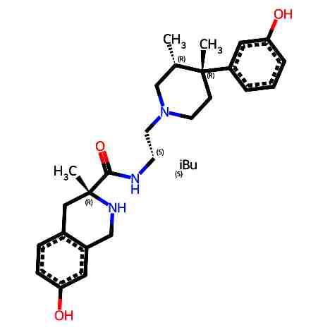 CC[C@H](C)[C@@H](CN1CC[C@@](C)(c2cccc(O)c2)[C@@H](C)C1)NC(=O)[C@@]1(C)Cc2ccc(O)cc2CN1